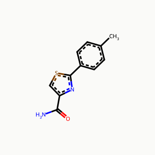 Cc1ccc(-c2nc(C(N)=O)cs2)cc1